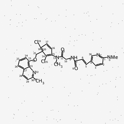 CNc1ccc(C=CC(=O)NCC(=O)N(C)c2ccc(Cl)c(COc3cccc4ccc(C)nc34)c2Cl)cn1